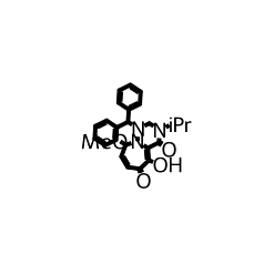 COC1C=CC(=O)C(O)=C2C(=O)N(C(C)C)CN(C(c3ccccc3)c3ccccc3)N21